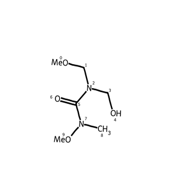 COCN(CO)C(=O)N(C)OC